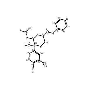 CN(C)CC1CC(OCc2ccccc2)CCC1(O)c1ccc(F)c(Cl)c1